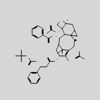 CC(=O)O[C@H]1C(=O)C23C(C[C@H]4OC[C@@]4(OC(C)=O)C2[C@H](OC(=O)c2ccccc2)[C@]2(O)C[C@H](OC(=O)[C@H](O)[C@@H](NC(=O)OC(C)(C)C)c4ccccc4)C(C)=C1C2(C)C)[C@@H]3C